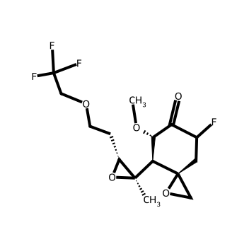 CO[C@@H]1C(=O)C(F)C[C@]2(CO2)[C@H]1[C@@]1(C)O[C@@H]1CCOCC(F)(F)F